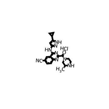 CC1CN(C(=O)c2nc(Nc3cc(C4CC4)[nH]n3)c3cc(C#N)ccc3n2)CCN1.Cl